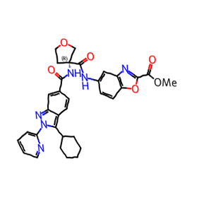 COC(=O)c1nc2cc(NC(=O)[C@@]3(NC(=O)c4ccc5c(C6CCCCC6)n(-c6ccccn6)nc5c4)CCOC3)ccc2o1